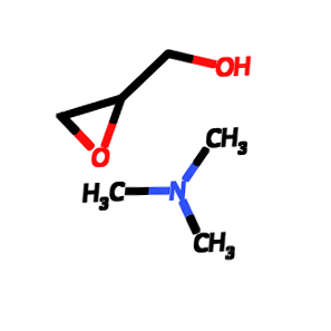 CN(C)C.OCC1CO1